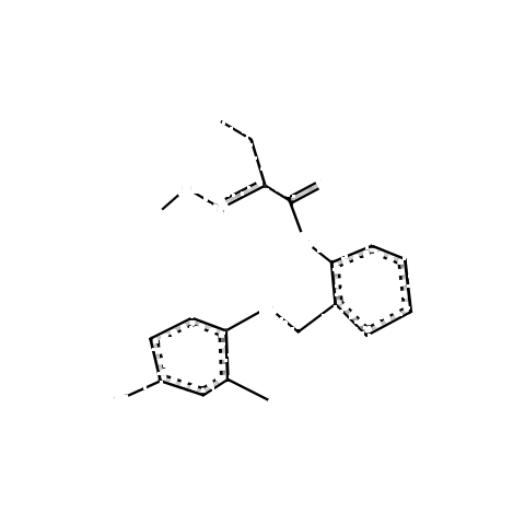 CCC(=NOC)C(=O)Oc1ccccc1COc1ccc(Cl)cc1C